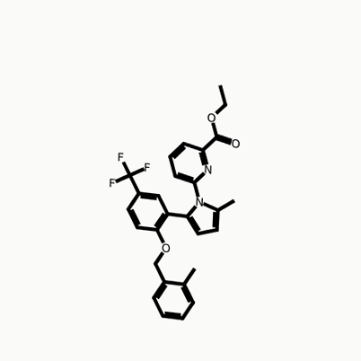 CCOC(=O)c1cccc(-n2c(C)ccc2-c2cc(C(F)(F)F)ccc2OCc2ccccc2C)n1